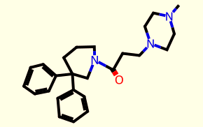 CN1CCN(CCC(=O)N2CCCC(c3ccccc3)(c3ccccc3)C2)CC1